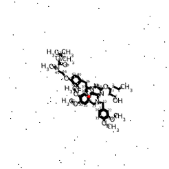 CCC[C@H](CCO)Oc1nc(N(Cc2ccc(OC)c(OC)c2)Cc2ccc(OC)c(OC)c2)c2ncc(Cc3ccc(OCCN(C)C(=O)OC(C)(C)C)cc3F)n2n1